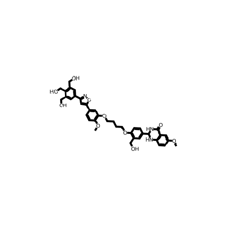 COc1ccc2c(c1)C(=O)NC(c1ccc(OCCCCOc3cc(-c4cc(-c5cc(CO)c(CO)c(CO)c5)no4)ccc3OC)c(CO)c1)N2